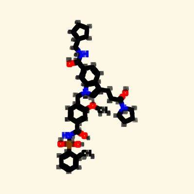 COc1cc(C(=O)NS(=O)(=O)c2ccccc2C)ccc1Cn1cc(CCC(=O)N2CCCC2)c2ccc(C(=O)NCC3CCCC3)cc21